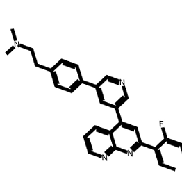 C/C=C(\C(F)=C/C)c1cc(-c2cncc(-c3ccc(CCN(C)C)cc3)c2)c2cccnc2n1